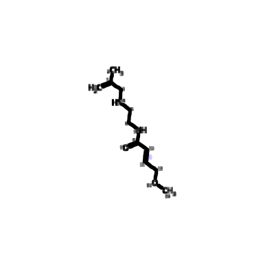 C=C(C)CNCCNC(=O)/C=C/COC